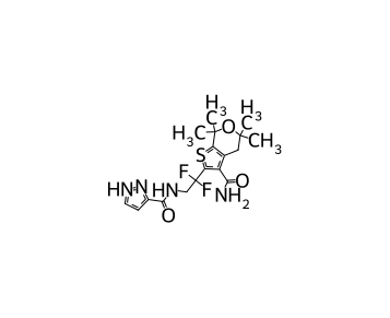 CC1(C)Cc2c(sc(C(F)(F)CNC(=O)c3cc[nH]n3)c2C(N)=O)C(C)(C)O1